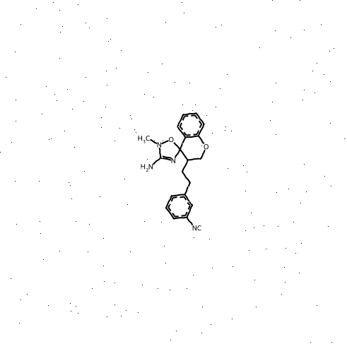 [C-]#[N+]c1cccc(CCC2COc3ccccc3C23N=C(N)N(C)O3)c1